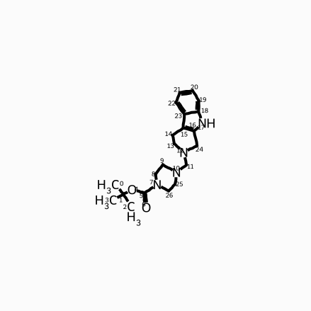 CC(C)(C)OC(=O)N1CCN(CN2CCc3c([nH]c4ccccc34)C2)CC1